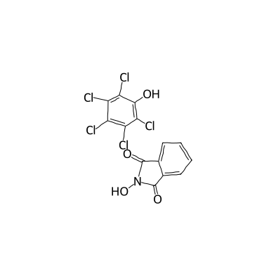 O=C1c2ccccc2C(=O)N1O.Oc1c(Cl)c(Cl)c(Cl)c(Cl)c1Cl